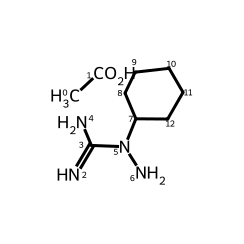 CC(=O)O.N=C(N)N(N)C1CCCCC1